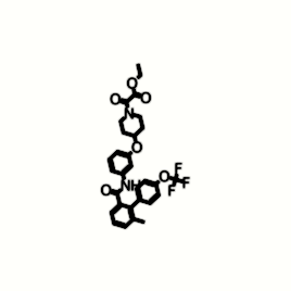 CCOC(=O)C(=O)N1CCC(Oc2cccc(NC(=O)c3cccc(C)c3-c3ccc(OC(F)(F)F)cc3)c2)CC1